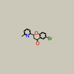 Cc1cccc(C2CC(=O)c3cc(Br)ccc3O2)n1